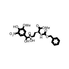 COC(=O)[C@H](CCP(=O)(O)C(O)c1cc(OC)c(O)c([N+](=O)[O-])c1)NC(=O)OCc1ccccc1